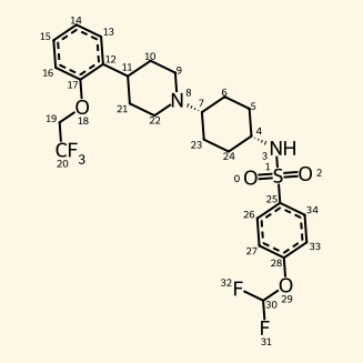 O=S(=O)(N[C@H]1CC[C@@H](N2CCC(c3ccccc3OCC(F)(F)F)CC2)CC1)c1ccc(OC(F)F)cc1